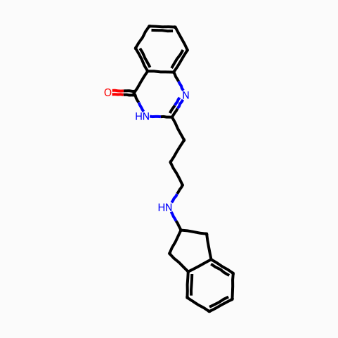 O=c1[nH]c(CCCNC2Cc3ccccc3C2)nc2ccccc12